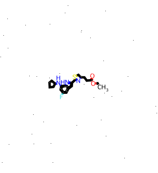 CCOC(=O)CCC1CSC(c2cc3cc(F)cc(NC4CCCC4)c3[nH]2)=N1